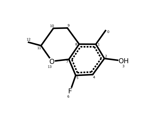 Cc1c(O)cc(F)c2c1CCC(C)O2